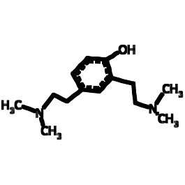 CN(C)CCc1ccc(O)c(CCN(C)C)c1